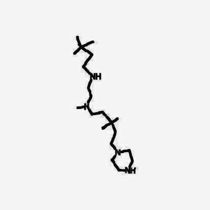 CN(CCNCCC(C)(C)C)CCC(C)(C)CCN1CCNCC1